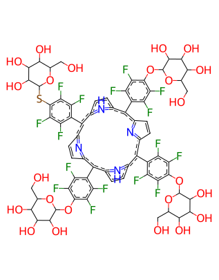 OCC1OC(Oc2c(F)c(F)c(-c3c4nc(c(-c5c(F)c(F)c(OC6OC(CO)C(O)C(O)C6O)c(F)c5F)c5ccc([nH]5)c(-c5c(F)c(F)c(SC6OC(CO)C(O)C(O)C6O)c(F)c5F)c5nc(c(-c6c(F)c(F)c(OC7OC(CO)C(O)C(O)C7O)c(F)c6F)c6ccc3[nH]6)C=C5)C=C4)c(F)c2F)C(O)C(O)C1O